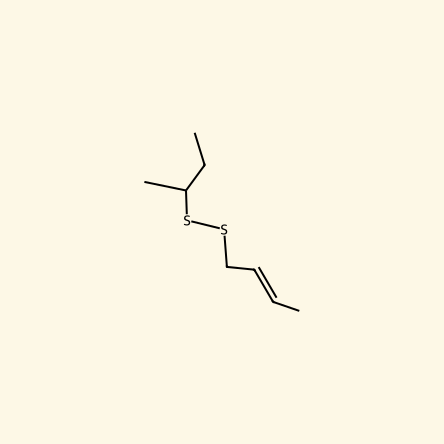 CC=CCSSC(C)CC